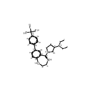 CCN(CC)C1CCN(C2=NCCOc3ccc(-c4ccc(C(F)(F)F)cc4)cc32)C1